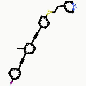 Cc1cc(C#Cc2ccc(SCCc3ccncc3)cc2)ccc1C#Cc1ccc(I)cc1